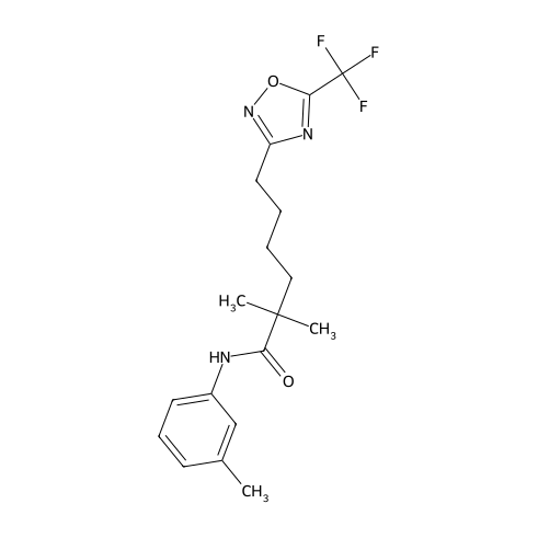 Cc1cccc(NC(=O)C(C)(C)CCCCc2noc(C(F)(F)F)n2)c1